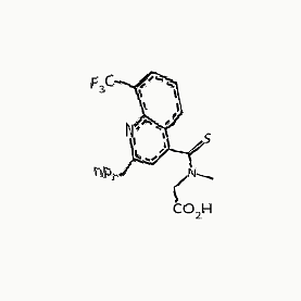 CCCc1cc(C(=S)N(C)CC(=O)O)c2cccc(C(F)(F)F)c2n1